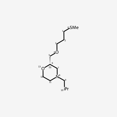 CSCCCOC[C@@H]1CN(CC(C)C)CCO1